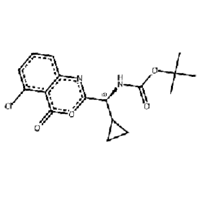 CC(C)(C)OC(=O)N[C@H](c1nc2cccc(Cl)c2c(=O)o1)C1CC1